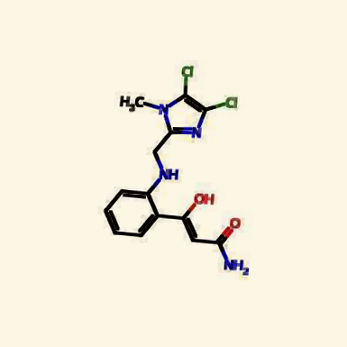 Cn1c(CNc2ccccc2C(O)=CC(N)=O)nc(Cl)c1Cl